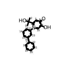 CC(C)(O)c1cc(=O)c(O)cn1-c1cccc(-c2ccccc2)c1